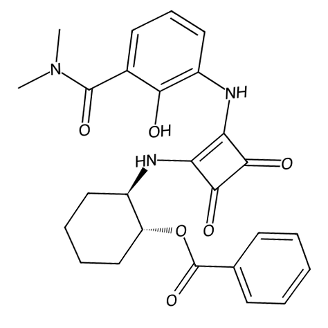 CN(C)C(=O)c1cccc(Nc2c(N[C@@H]3CCCC[C@H]3OC(=O)c3ccccc3)c(=O)c2=O)c1O